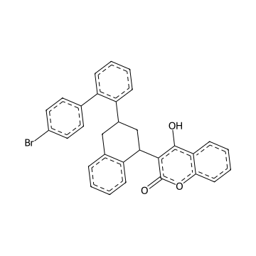 O=c1oc2ccccc2c(O)c1C1CC(c2ccccc2-c2ccc(Br)cc2)Cc2ccccc21